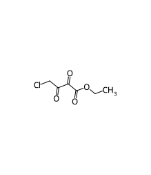 CCOC(=O)C(=O)C(=O)CCl